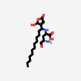 CCCCCCCCCCCCC(NC(C[C@H](N)C=O)C(=O)O)C1=CC(=O)OC1O